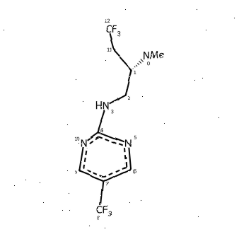 CN[C@H](CNc1ncc(C(F)(F)F)cn1)CC(F)(F)F